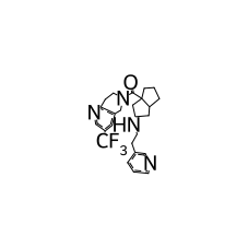 O=C(N1CCc2ncc(C(F)(F)F)cc2C1)C12CCCC1CC(NCCc1cccnc1)C2